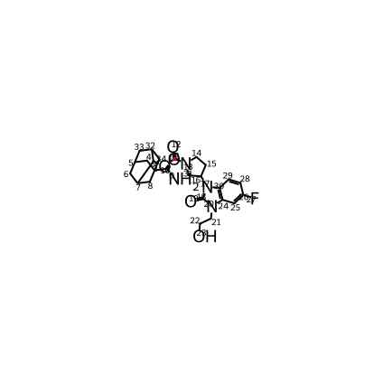 NC(=O)C12CC3CC(C1)C(OC(=O)N1CCC(n4c(=O)n(CCO)c5cc(F)ccc54)C1)C(C3)C2